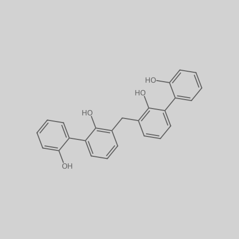 Oc1ccccc1-c1cccc(Cc2cccc(-c3ccccc3O)c2O)c1O